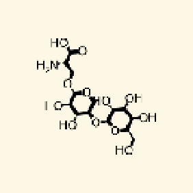 N[C@@H](CO[C@@H]1OCC(O[C@@H]2O[C@H](CO)[C@H](O)[C@H](O)[C@H]2O)[C@H](O)[C@H]1O)C(=O)O